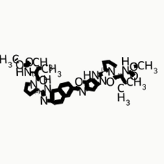 COC(=O)N[C@H](C(=O)N1CCC[C@H]1c1nc2c([nH]1)-c1oc(-c3ccc4c(ccc5nc([C@@H]6CCCN6C(=O)[C@@H](NC(=O)OC)C(C)C)[nH]c54)c3)nc1C2)C(C)C